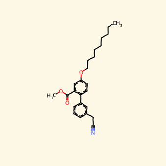 CCCCCCCCCOc1ccc(-c2cccc(CC#N)c2)c(C(=O)OC)c1